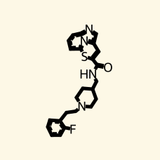 O=C(NCC1CCN(CCc2ccccc2F)CC1)C1=Cc2cnc3cccc(n23)S1